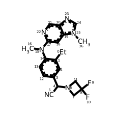 CCc1cc(C(C#N)N2CC(F)(F)C2)ccc1N(C)c1cc2c(cn1)ncn2C